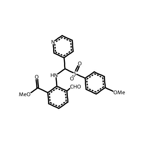 COC(=O)c1cccc(C=O)c1NC(c1cccnc1)S(=O)(=O)c1ccc(OC)cc1